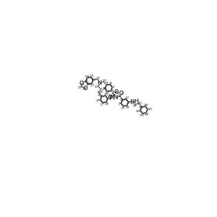 O=C(NS(=O)(=O)c1ccc(CN(CCSc2ccccc2)Cc2ccc3c(c2)OCO3)cc1)c1cccc(NCCc2ccccc2)c1